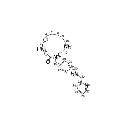 O=C1CNCCCCCCCNCCN1Cc1ccc(CNCc2ccccn2)cc1